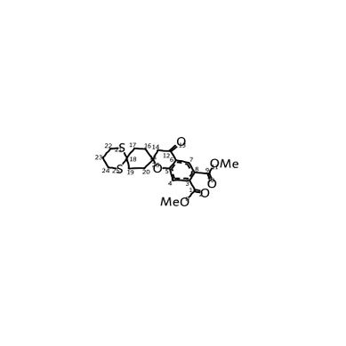 COC(=O)c1cc2c(cc1C(=O)OC)C(=O)CC1(CCC3(CC1)SCCCS3)O2